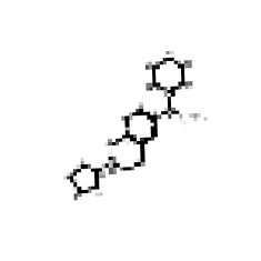 O=CC(c1ccc2c(c1)CCN(C1CCCC1)C2)N1CCCCC1